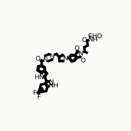 CC(CCC(=O)NC=O)N1C(=O)c2ccc(N3CCC(CN4CCN(C(=O)c5ccc6[nH]c(-c7n[nH]c8c7CC7C(F)(F)C7(C)C8)cc6c5)CC4)C3)cc2C1=O